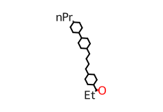 CCCC1CCC(C2CCC(CCCCC3CCC(C(=O)CC)CC3)CC2)CC1